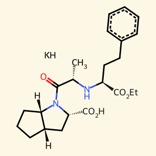 CCOC(=O)[C@H](CCc1ccccc1)N[C@@H](C)C(=O)N1[C@H](C(=O)O)C[C@@H]2CCC[C@@H]21.[KH]